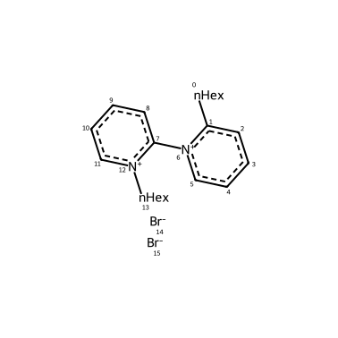 CCCCCCc1cccc[n+]1-c1cccc[n+]1CCCCCC.[Br-].[Br-]